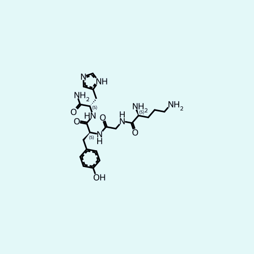 NCCC[C@H](N)C(=O)NCC(=O)N[C@@H](Cc1ccc(O)cc1)C(=O)N[C@@H](Cc1cnc[nH]1)C(N)=O